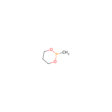 CP1OCCCO1